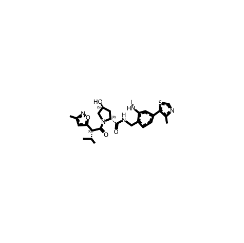 Cc1cc([C@H](C(=O)N2C[C@@H](O)C[C@@H]2C(=O)NCc2ccc(-c3scnc3C)cc2NI)C(C)C)on1